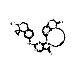 CN1CCc2ccc(Nc3ncc4c(=O)n5n(c4n3)-c3ccc4c(n3)N(CCC/C=C\C5)C(=O)CO4)cc2C12CC2